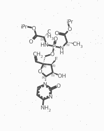 C=C[C@]1(COP(=O)(N[C@@H](C)C(=O)OC(C)C)N[C@@H](C)C(=O)OC(C)C)O[C@@H](n2ccc(N)nc2=O)[C@H](O)[C@@H]1F